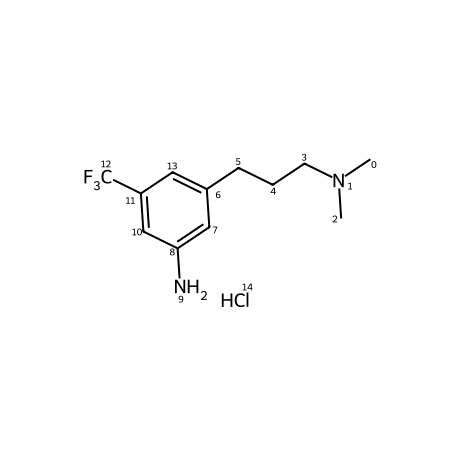 CN(C)CCCc1cc(N)cc(C(F)(F)F)c1.Cl